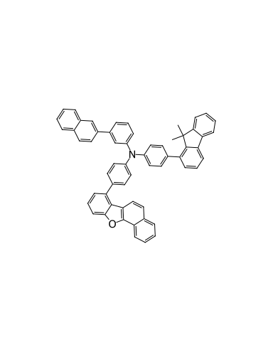 CC1(C)c2ccccc2-c2cccc(-c3ccc(N(c4ccc(-c5cccc6oc7c8ccccc8ccc7c56)cc4)c4cccc(-c5ccc6ccccc6c5)c4)cc3)c21